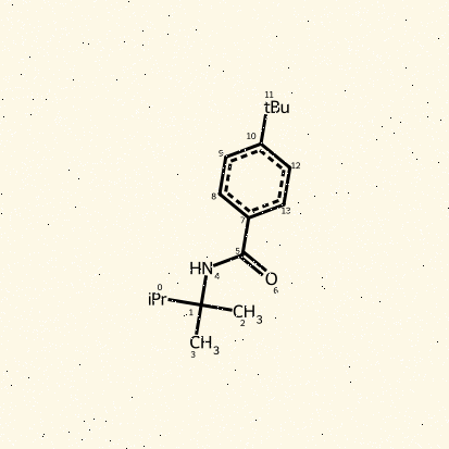 CC(C)C(C)(C)NC(=O)c1ccc(C(C)(C)C)cc1